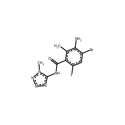 Cc1c(N)c(Br)cc(F)c1C(=O)Nc1nnnn1C